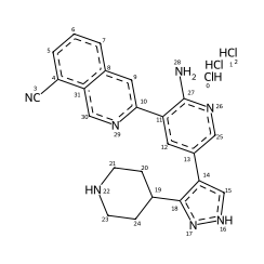 Cl.Cl.Cl.N#Cc1cccc2cc(-c3cc(-c4c[nH]nc4C4CCNCC4)cnc3N)ncc12